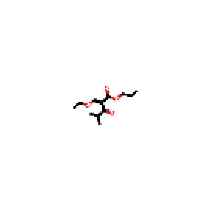 CCCOC(=O)C(=COCC)C(=O)C(C)C